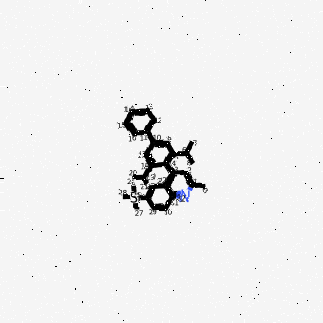 Cc1cc(-c2c(C(C)C)cc(-c3ccccc3)cc2C(C)C)c2cc([Si](C)(C)C)ccc2n1